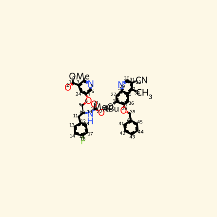 COC(=O)c1cncc(OC[C@H](Cc2ccc(F)cc2)NC(=O)OC(C)(C)C)c1.COc1cc2ncc(C#N)c(C)c2cc1OCc1ccccc1